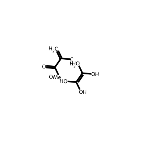 C=C(C)C(=O)OC.OC(O)=C(O)O